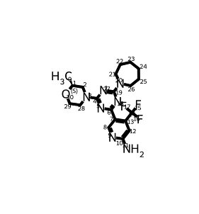 C[C@H]1CN(c2nc(-c3cnc(N)cc3C(F)(F)F)nc(N3CCCCCC3)n2)CCO1